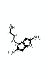 Nc1cc2c(cc(N)n2OCCO)o1